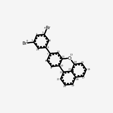 Brc1cc(Br)cc(-c2ccc3c(c2)Oc2cccc4cccc-3c24)c1